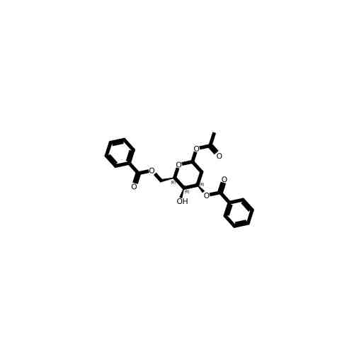 CC(=O)OC1C[C@@H](OC(=O)c2ccccc2)[C@@H](O)[C@@H](COC(=O)c2ccccc2)O1